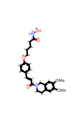 COc1cc2c(cc1OC)CN(C(=O)/C=C/c1ccc(OCCCCC(=O)NO)cc1)CC2